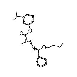 CCCCOC(=NSN(C)C(=O)Oc1cccc(C(C)C)c1)c1ccccc1